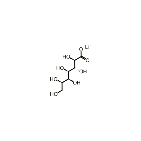 O=C([O-])[C@H](O)[C@H](O)[C@H](O)[C@@H](O)[C@H](O)CO.[Li+]